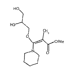 COC(=O)C(C)=C(OCC(O)CO)N1CCCCC1